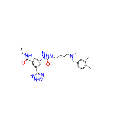 CCNC(=O)c1cc(NC(=O)NCCCCN(C)Cc2ccc(C)c(C)c2)cc(-c2nnnn2C)c1